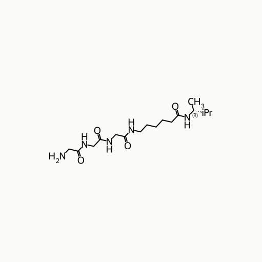 CC(C)[C@@H](C)NC(=O)CCCCCNC(=O)CNC(=O)CNC(=O)CN